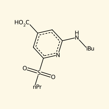 CCCS(=O)(=O)c1cc(C(=O)O)cc(NC(C)CC)n1